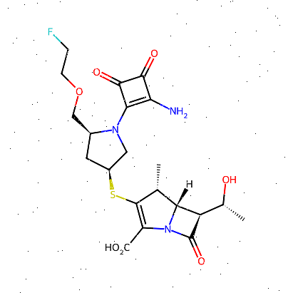 C[C@@H](O)[C@H]1C(=O)N2C(C(=O)O)=C(S[C@H]3C[C@@H](COCCF)N(c4c(N)c(=O)c4=O)C3)[C@H](C)[C@H]12